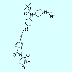 CC(C)(C)OC(=O)N(C1CCC(N=[N+]=[N-])CC1)[C@H]1CC[C@H](OCC#Cc2ccc3c(c2)CN(C2CCC(=O)NC2=O)C3=O)CC1